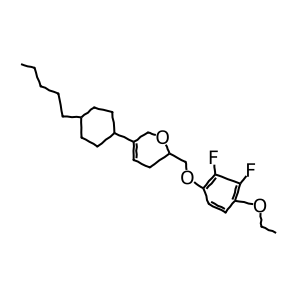 CCCCCC1CCC(C2=CCC(COc3ccc(OCC)c(F)c3F)OC2)CC1